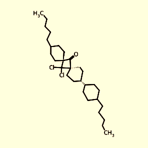 CCCCCC1CCC([C@H]2CC[C@@]3(CC2)C(=O)[C@]2(CCC(CCCCC)CC2)C3(Cl)Cl)CC1